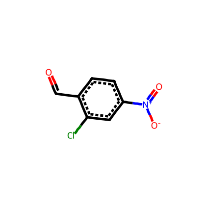 O=Cc1ccc([N+](=O)[O-])cc1Cl